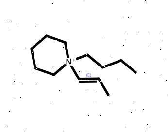 C/C=C/[N+]1(CCCC)CCCCC1